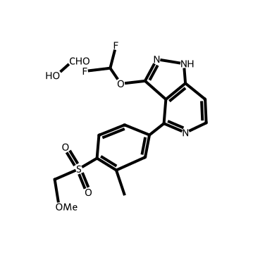 COCS(=O)(=O)c1ccc(-c2nccc3[nH]nc(OC(F)F)c23)cc1C.O=CO